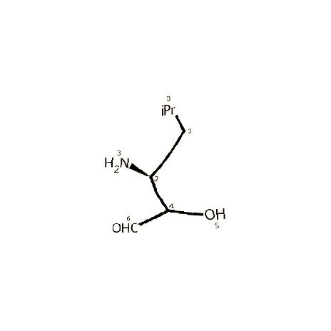 CC(C)C[C@H](N)C(O)C=O